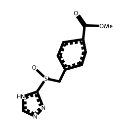 COC(=O)c1ccc(C[S+]([O-])c2nnc[nH]2)cc1